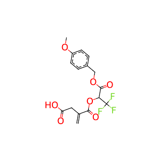 C=C(CC(=O)O)C(=O)OC(C(=O)OCc1ccc(OC)cc1)C(F)(F)F